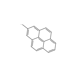 [CH2]c1cc2ccc3cccc4ccc(c1)c2c34